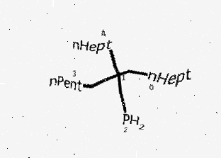 CCCCCCCC(P)(CCCCC)CCCCCCC